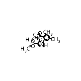 CCOC(=O)c1c[nH]nc1N(C(=O)c1ccc(C)cc1C)C(C)C